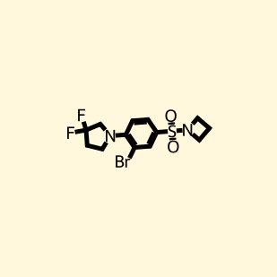 O=S(=O)(c1ccc(N2CCC(F)(F)C2)c(Br)c1)N1CCC1